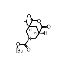 CC(C)(C)OC(=O)N1C[C@H]2C[C@@H](C1)C(=O)OC2=O